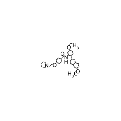 COc1ccc(-c2ccc3cc(OC)ccc3c2)c(NC(=O)c2ccc(OCCN3CCCCC3)cc2)c1